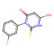 O=c1cc(O)[nH]c(=S)n1-c1cccc(F)c1